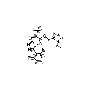 CCn1ncnc1COc1nn2c(-c3c(F)cccc3F)nnc2cc1C(C)(C)C